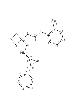 FC(F)(F)c1ccccc1CNCC1(CN[C@H]2C[C@@H]2c2ccccc2)CCC1